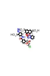 NC(=O)N(c1ccccc1)c1cc(S(=O)(=O)O)cc2cc(S(=O)(=O)O)cc(O)c12.Nc1ccc(NC(=O)c2cccc(CS(=O)(=O)CCCl)c2)cc1S(=O)(=O)O